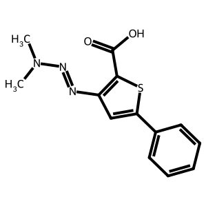 CN(C)N=Nc1cc(-c2ccccc2)sc1C(=O)O